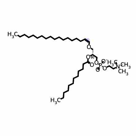 CCCCCCCCCCCCCCCC/C=C\OC[C@H](COP(=O)([O-])OCC[N+](C)(C)C)OC(=O)CCCCCCCCCCC